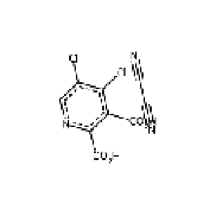 N#CC#N.O=C(O)c1ncc(Cl)c(Cl)c1C(=O)O